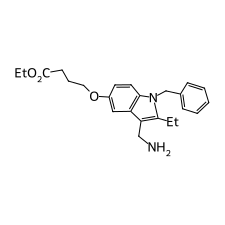 CCOC(=O)CCCOc1ccc2c(c1)c(CN)c(CC)n2Cc1ccccc1